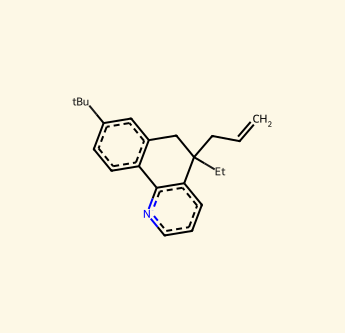 C=CCC1(CC)Cc2cc(C(C)(C)C)ccc2-c2ncccc21